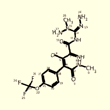 CNC(=O)/C(=C(/Cl)C(=N)C(=O)N/C(=N/N)N(C)N)c1ccc(OC(F)(F)F)cc1